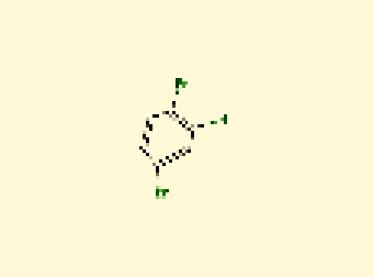 Fc1cc(Br)c[c]c1Br